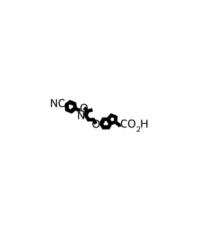 Cc1oc(-c2ccc(C#N)cc2)nc1CCOc1ccc2c(c1)CCC2CC(=O)O